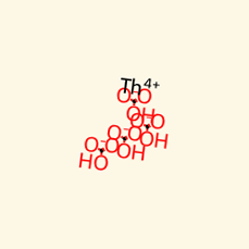 O=C([O-])O.O=C([O-])O.O=C([O-])O.O=C([O-])O.[Th+4]